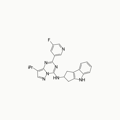 CC(C)c1cnn2c(NC3Cc4[nH]c5ccccc5c4C3)nc(-c3cncc(F)c3)nc12